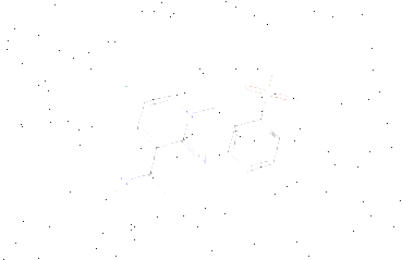 CC(C)S(=O)(=O)c1ccccc1Cn1cc(Cl)cc(C(N)=O)c1=N